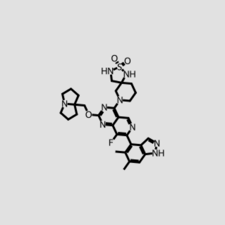 Cc1cc2[nH]ncc2c(-c2ncc3c(N4CCCC5(CNS(=O)(=O)N5)C4)nc(OCC45CCCN4CCC5)nc3c2F)c1C